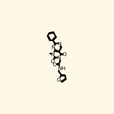 Cn1c(=O)n(CC(=O)NCc2ccco2)c(=O)c2cnc(-c3ccccc3)nc21